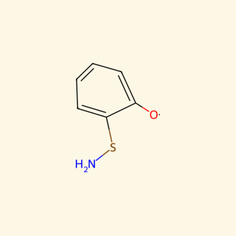 NSc1ccccc1[O]